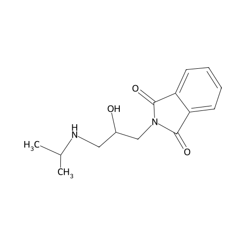 CC(C)NCC(O)CN1C(=O)c2ccccc2C1=O